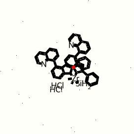 Cl.Cl.[CH3][Zr]([CH3])(=[SiH2])([CH]1C(c2ccccc2)=Cc2c(-c3cccc4cccnc34)cccc21)[CH]1C(c2ccccc2)=Cc2c(-c3cccc4cccnc34)cccc21